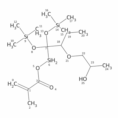 C=C(C)C(=O)O[SiH2]C(O[Si](C)(C)C)(O[Si](C)(C)C)C(CC)OCC(C)O